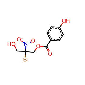 O=C(OCC(Br)(CO)[N+](=O)[O-])c1ccc(O)cc1